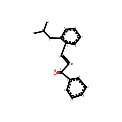 CC(C)Cc1ccccc1C=CC(=O)c1ccccc1